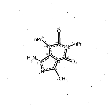 CCCn1c(=O)c2c(C)nn(N)c2n(CCC)c1=O